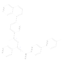 C=C(/B=C(\C=C(/C)c1ccc(-c2cccc3ccccc23)cc1)c1ccccc1)c1ccc(-c2ccc(C)cc2)cc1